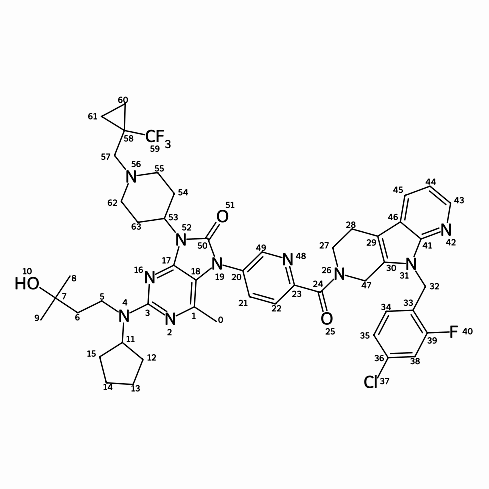 Cc1nc(N(CCC(C)(C)O)C2CCCC2)nc2c1n(-c1ccc(C(=O)N3CCc4c(n(Cc5ccc(Cl)cc5F)c5ncccc45)C3)nc1)c(=O)n2C1CCN(CC2(C(F)(F)F)CC2)CC1